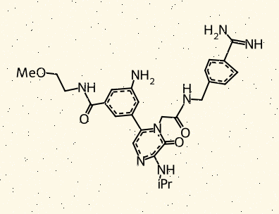 COCCNC(=O)c1cc(N)cc(-c2cnc(NC(C)C)c(=O)n2CC(=O)NCc2ccc(C(=N)N)cc2)c1